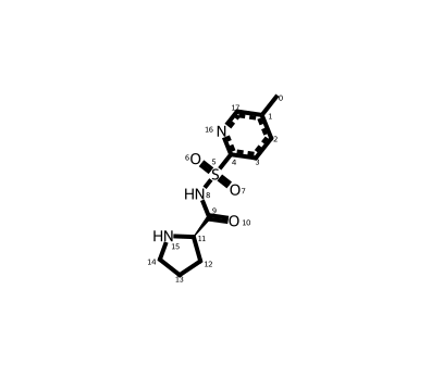 Cc1ccc(S(=O)(=O)NC(=O)[C@H]2CCCN2)nc1